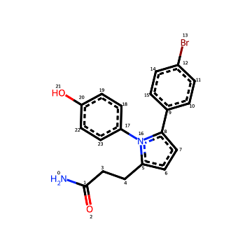 NC(=O)CCc1ccc(-c2ccc(Br)cc2)n1-c1ccc(O)cc1